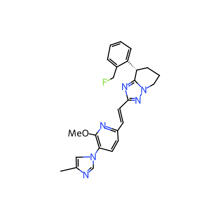 COc1nc(/C=C/c2nc3n(n2)CCC[C@H]3c2ccccc2CF)ccc1-n1cnc(C)c1